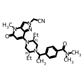 CC[C@H]1CN(C(C)c2ccc(C(=O)N(C)C)cc2)[C@H](CC)CN1c1cc(=O)n(C)c2cn(CC#N)nc12